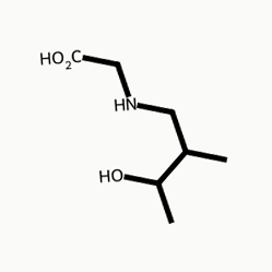 CC(O)C(C)CNCC(=O)O